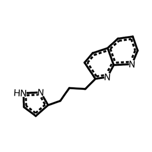 c1cnc2nc(CCCc3cc[nH]n3)ccc2c1